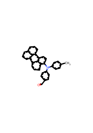 Cc1ccc(N(c2ccc(C=O)cc2)c2ccc3c4cccc5cccc(c6cccc2c63)c54)cc1